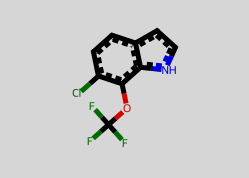 FC(F)(F)Oc1c(Cl)ccc2cc[nH]c12